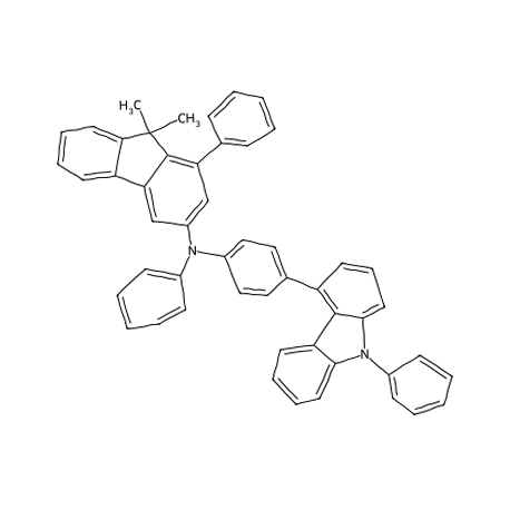 CC1(C)c2ccccc2-c2cc(N(c3ccccc3)c3ccc(-c4cccc5c4c4ccccc4n5-c4ccccc4)cc3)cc(-c3ccccc3)c21